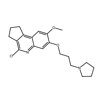 COc1cc2c3c(c(Cl)nc2cc1OCCCN1CCCC1)CCC3